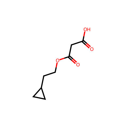 O=C(O)CC(=O)OCCC1CC1